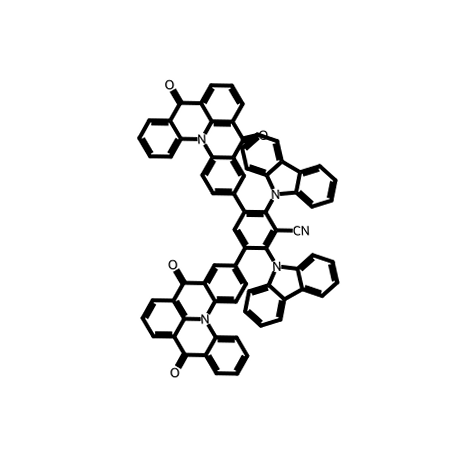 N#Cc1c(-n2c3ccccc3c3ccccc32)c(-c2ccc3c(c2)c(=O)c2cccc4c(=O)c5ccccc5n3c42)cc(-c2ccc3c(c2)c(=O)c2cccc4c(=O)c5ccccc5n3c42)c1-n1c2ccccc2c2ccccc21